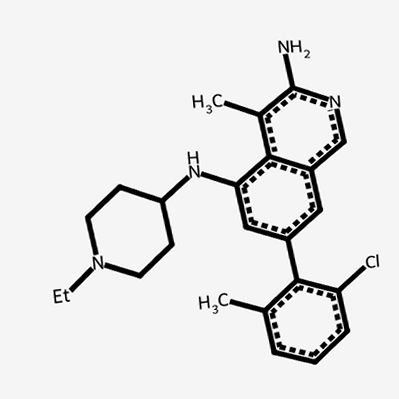 CCN1CCC(Nc2cc(-c3c(C)cccc3Cl)cc3cnc(N)c(C)c23)CC1